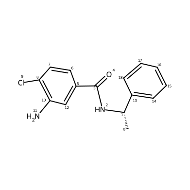 C[C@H](NC(=O)c1ccc(Cl)c(N)c1)c1ccccc1